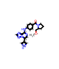 COCC1CCCN1C(=O)c1ccc(Nc2ncc(-c3cn[nH]c3)n3ncnc23)cc1